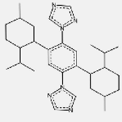 CC1CCC(C(C)C)C(c2cc(-n3cncn3)c(C3CC(C)CCC3C(C)C)cc2-n2cncn2)C1